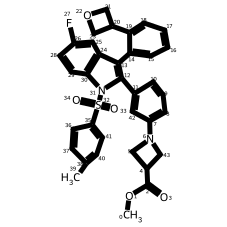 COC(=O)C1CN(c2cccc(-c3c(-c4ccccc4C4COC4)c4cc(F)ccc4n3S(=O)(=O)c3ccc(C)cc3)c2)C1